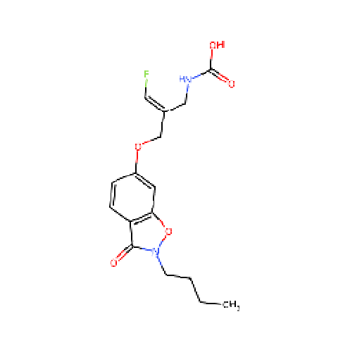 CCCCn1oc2cc(OCC(=CF)CNC(=O)O)ccc2c1=O